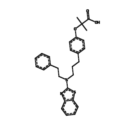 CC(C)(Oc1ccc(CCCN(CCc2ccccc2)c2nc3ccccc3s2)cc1)C(=O)O